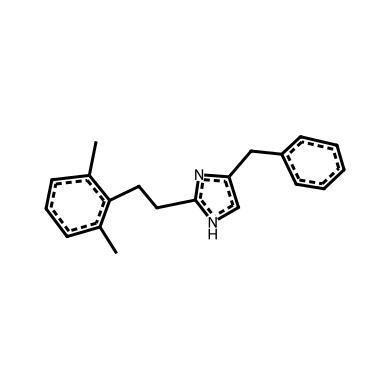 Cc1cccc(C)c1CCc1nc(Cc2ccccc2)c[nH]1